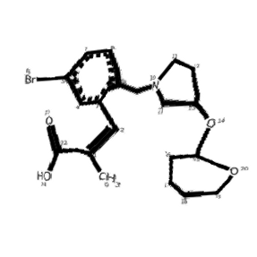 CC(=Cc1cc(Br)ccc1N1CCC(OC2CCCCO2)C1)C(=O)O